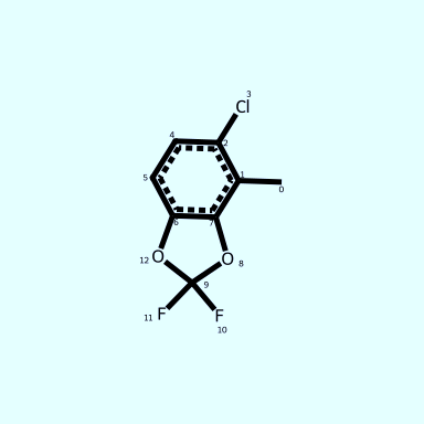 Cc1c(Cl)ccc2c1OC(F)(F)O2